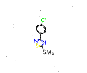 CSc1nc(-c2ccc(Cl)cc2)ns1